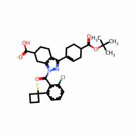 CC(C)(C)OC(=O)C1CC=C(c2nn(C(=O)c3c(Cl)cccc3C3(F)CCC3)c3c2CCC(C(=O)O)C3)CC1